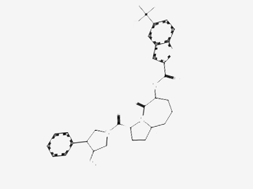 CC(F)(F)c1ccc2sc(C(=O)NC3CCC[C@H]4CC[C@@H](C(=O)N5CC(C#N)C(c6ccccc6)C5)N4C3=O)cc2c1